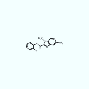 Cn1c(NCc2ccccc2F)nc2cc(N)ccc21